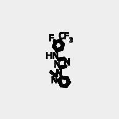 Cc1nc2ccccc2n1-c1cncc(Nc2ccc(C(F)(F)F)c(F)c2)n1